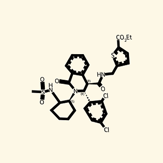 CCOC(=O)c1ccc(CNC(=O)[C@@H]2c3ccccc3C(=O)N([C@H]3CCCCC3NS(C)(=O)=O)[C@H]2c2ccc(Cl)cc2Cl)s1